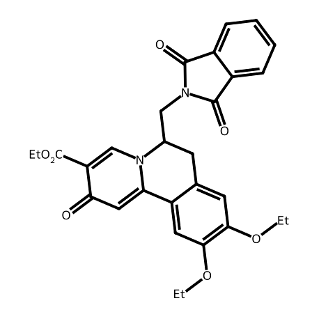 CCOC(=O)c1cn2c(cc1=O)-c1cc(OCC)c(OCC)cc1CC2CN1C(=O)c2ccccc2C1=O